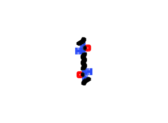 CC1CN1C(=O)NCCCCCCNC(=O)N1CC1C